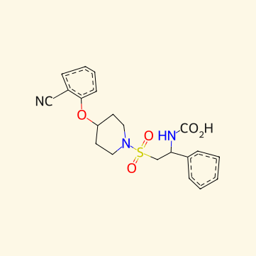 N#Cc1ccccc1OC1CCN(S(=O)(=O)CC(NC(=O)O)c2ccccc2)CC1